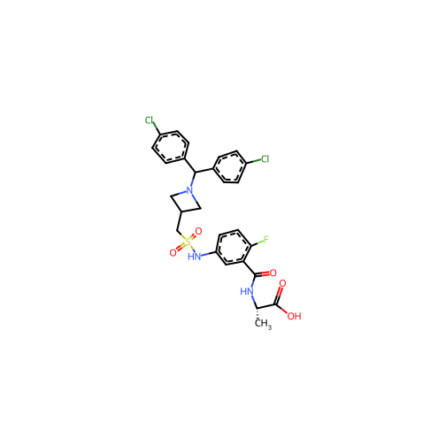 C[C@H](NC(=O)c1cc(NS(=O)(=O)CC2CN(C(c3ccc(Cl)cc3)c3ccc(Cl)cc3)C2)ccc1F)C(=O)O